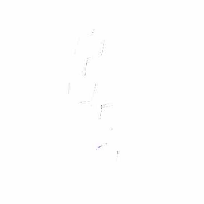 COC(=O)[C@@H](N)CCC(=O)N1CCOC(c2ccccc2)C1